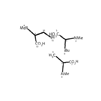 CCC(C)C(NC)C(=O)O.CNC(C)C(=O)O.CNC(CC(C)C)C(=O)O